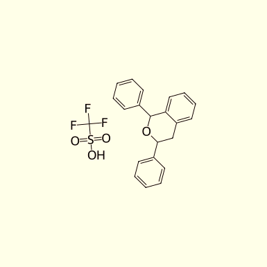 O=S(=O)(O)C(F)(F)F.c1ccc(C2Cc3ccccc3C(c3ccccc3)O2)cc1